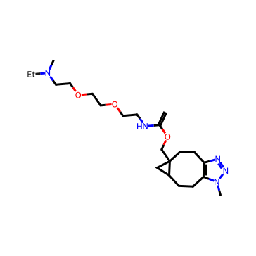 C=C(NCCOCCOCCN(C)CC)OCC12CCc3nnn(C)c3CCC1C2